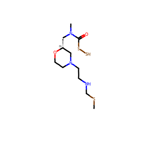 CSCNCCN1CCO[C@H](CN(C)C(=O)SS)C1